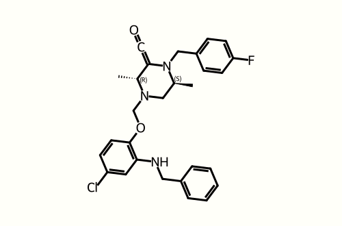 C[C@@H]1C(=C=O)N(Cc2ccc(F)cc2)[C@@H](C)CN1COc1ccc(Cl)cc1NCc1ccccc1